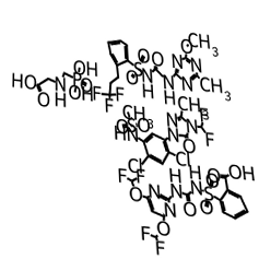 COc1nc(C)nc(NC(=O)NS(=O)(=O)c2ccccc2CCC(F)(F)F)n1.Cc1nn(-c2cc(NS(C)(=O)=O)c(Cl)cc2Cl)c(=O)n1C(F)F.O=C(Nc1nc(OC(F)F)cc(OC(F)F)n1)NS(=O)(=O)c1ccccc1C(=O)O.O=C(O)CNCP(=O)(O)O